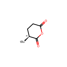 CC(C)(C)[C@H]1CCC(=O)OC1=O